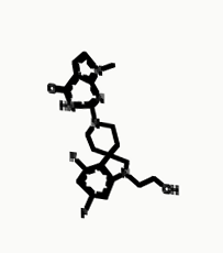 Cn1ccc2c(=O)[nH]c(N3CCC4(CC3)CN(CCO)c3cc(F)cc(F)c34)nc21